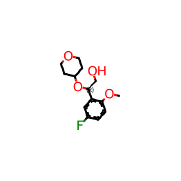 COc1ccc(F)cc1[C@H](CO)OC1CCOCC1